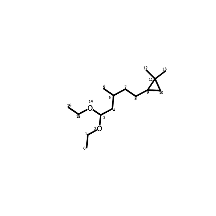 CCOC(CC(C)CCC1CC1(C)C)OCC